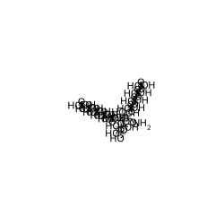 NOC[C@H]1O[C@H](O[C@]2(CO)O[C@H](CO)[C@@H](O)[C@@H]2O)[C@H](O)[C@@H](O)[C@@H]1O.O=S(=O)(O)O.O=S(=O)(O)O.O=S(=O)(O)O.O=S(=O)(O)O.O=S(=O)(O)O.O=S(=O)(O)O.O=S(=O)(O)O.O=S(=O)(O)O.O=S(=O)(O)O